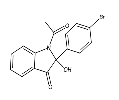 CC(=O)N1c2ccccc2C(=O)C1(O)c1ccc(Br)cc1